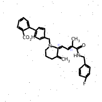 C=C1CCCN(Cc2ccc(-c3ccccc3C(=O)O)cc2)/C1=C/C=C(\C)C(=O)NCc1ccc(F)cc1